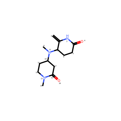 C=C1NC(=O)CCC1N(C)C1CCN(C)C(=O)C1